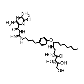 CCCCCCCC(NC[C@H](O)[C@@H](O)[C@H](O)[C@H](O)CO)Oc1ccc(CCCCNC(=N)NC(=O)c2nc(Cl)c(N)nc2N)cc1